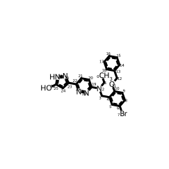 CCN(Cc1cc(Br)ccc1OCc1ccccc1)c1ccc(-c2cc(O)[nH]n2)nn1